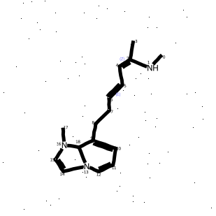 CN/C(C)=C\C=C\CCC1=CC=CN2C=CN(C)C12